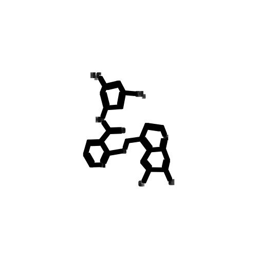 Cc1cc(C)cc(NC(=O)c2cccnc2SCc2ccnc3cc(Cl)c(Cl)cc23)c1